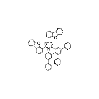 c1ccc(-c2cccc(-c3c(-c4ccccc4)cc(-c4ccccc4)cc3-c3nc(-c4cccc5c4oc4ccccc45)nc(-c4cccc5c4oc4ccccc45)n3)c2)cc1